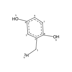 [2H]Cc1cc(O)ccc1O